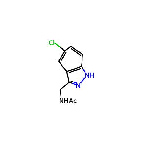 CC(=O)NCc1n[nH]c2ccc(Cl)cc12